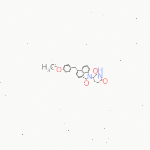 CCOc1ccc(Cc2ccc3c4c(cccc24)N(C2CCC(=O)NC2=O)C3=O)cc1